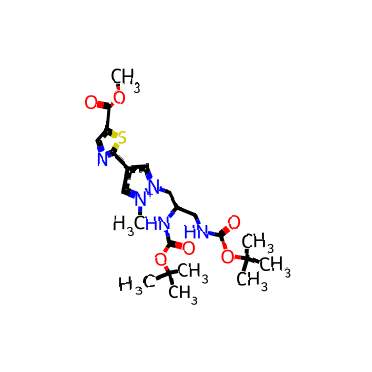 COC(=O)c1cnc(-c2cn(CC(CNC(=O)OC(C)(C)C)NC(=O)OC(C)(C)C)[n+](C)c2)s1